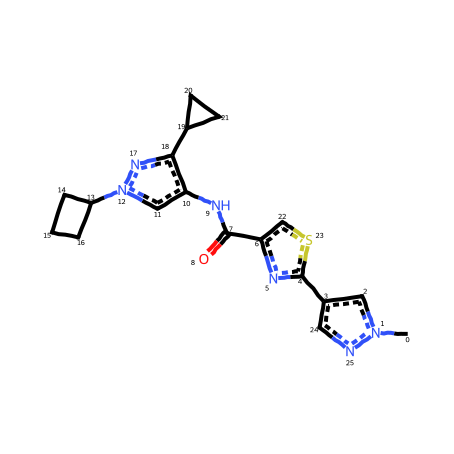 Cn1cc(-c2nc(C(=O)Nc3cn(C4CCC4)nc3C3CC3)cs2)cn1